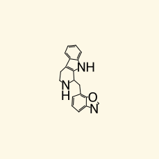 c1cc(CC2NCCc3c2[nH]c2ccccc32)c2ocnc2c1